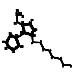 CCCCCCCCn1nnc(CN)c1-c1ccccc1